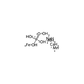 O.O=P(O)(O)O.[AlH3].[CaH2].[Fe].[Mn].[NaH]